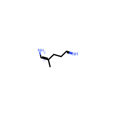 C/C(=C/N)CCC=N